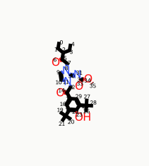 CCC(CC)C(=O)Cn1ccn(CC(=O)c2cc(C(C)(C)C)c(O)c(C(C)(C)C)c2)/c1=N\C(=O)OC